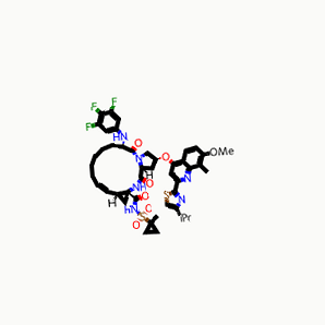 COc1ccc2c(O[C@@H]3C[C@H]4C(=O)N[C@]5(C(=O)NS(=O)(=O)C6(C)CC6)C[C@H]5/C=C\CCCCC[C@H](Nc5cc(F)c(F)c(F)c5)C(=O)N4C3)cc(-c3nc(C(C)C)cs3)nc2c1C